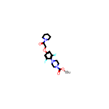 CC(C)(C)OC(=O)N1CCN(c2c(F)cc(OCC(=O)N3CCCCC3)cc2F)CC1